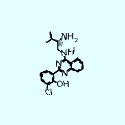 CC(C)[C@@H](N)CNc1nc(-c2cccc(Cl)c2O)nc2ccccc12